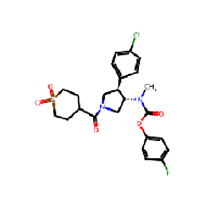 CN(C(=O)Oc1ccc(F)cc1)[C@@H]1CN(C(=O)C2CCS(=O)(=O)CC2)C[C@H]1c1ccc(Cl)cc1